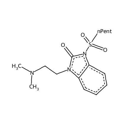 CCCCCS(=O)(=O)n1c(=O)n(CCN(C)C)c2ccccc21